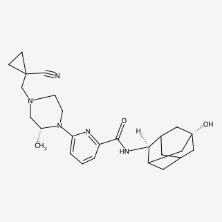 C[C@@H]1CN(CC2(C#N)CC2)CCN1c1cccc(C(=O)N[C@H]2C3CC4CC2C[C@](O)(C4)C3)n1